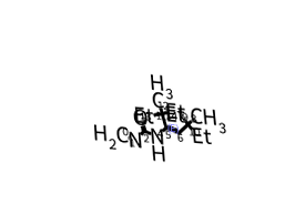 C=NC(=O)N/C(=C/C(C)(CC)CC)C(C)(CC)CC